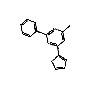 Cc1cc(-c2cccs2)nc(-c2ccccc2)n1